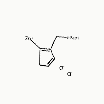 CCCCCCC1=[C]([Zr+2])CC=C1.[Cl-].[Cl-]